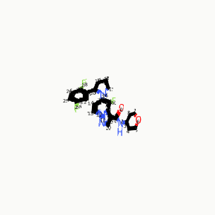 O=C(NC1CCOCC1)c1cnn2ccc(N3CCCC3c3cc(F)ccc3F)c(F)c12